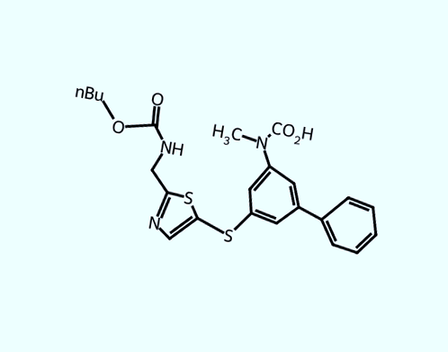 CCCCOC(=O)NCc1ncc(Sc2cc(-c3ccccc3)cc(N(C)C(=O)O)c2)s1